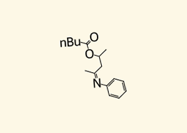 CCCCC(=O)OC(C)CC(C)=Nc1ccccc1